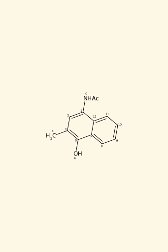 CC(=O)Nc1cc(C)c(O)c2ccccc12